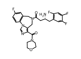 N[C@@H](CC(=O)N1Cc2cc(F)ccc2-n2cnc(C(=O)N3CCOCC3)c2C1)Cc1cc(F)c(F)cc1F